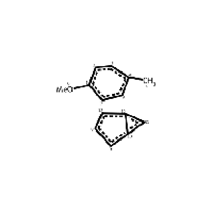 COc1ccc(C)cc1.c1cc2cc-2c1